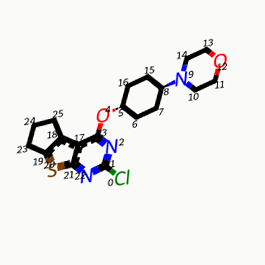 Clc1nc(O[C@H]2CC[C@H](N3CCOCC3)CC2)c2c3c(sc2n1)CCC3